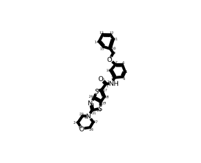 O=C(Nc1cccc(OCc2ccccc2)c1)c1cc2sc(N3CCOCC3)nc2s1